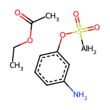 CCOC(C)=O.Nc1cccc(O[S](=O)(=O)[AlH2])c1